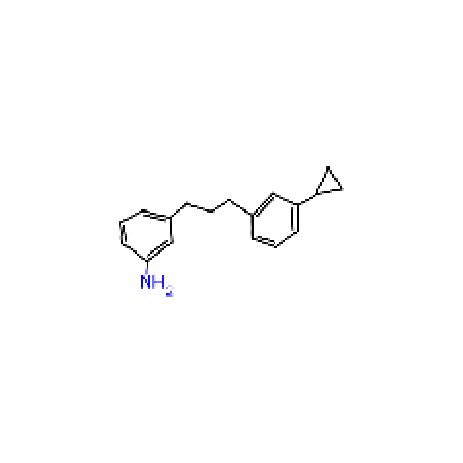 Nc1cccc(CCCc2cccc(C3CC3)c2)c1